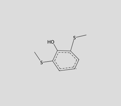 CSc1c[c]cc(SC)c1O